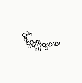 COc1cc(Nc2nccc(-c3ccc(OC4CCN(C(=O)CO)C4)c(N)c3)n2)ccc1N1CCC(N2CCN(C)CC2)CC1